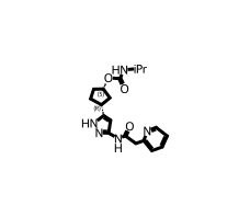 CC(C)NC(=O)O[C@H]1CC[C@@H](c2cc(NC(=O)Cc3ccccn3)n[nH]2)C1